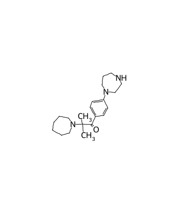 CC(C)(C(=O)c1ccc(N2CCCNCC2)cc1)N1CCCCCC1